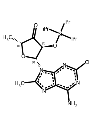 Cc1nc2c(N)nc(Cl)nc2n1[C@@H]1O[C@H](C)C(=O)[C@H]1O[Si](C(C)C)(C(C)C)C(C)C